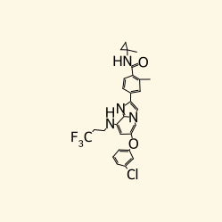 Cc1cc(-c2cn3cc(Oc4cccc(Cl)c4)cc(NCCC(F)(F)F)c3n2)ccc1C(=O)NC1(C)CC1